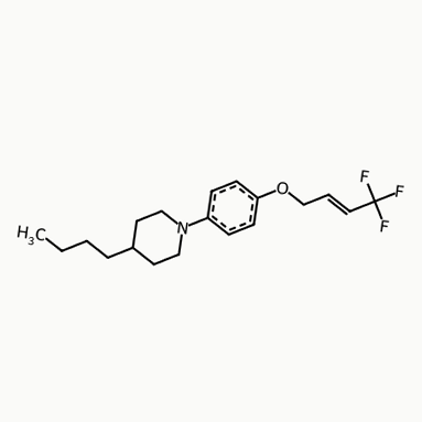 CCCCC1CCN(c2ccc(OCC=CC(F)(F)F)cc2)CC1